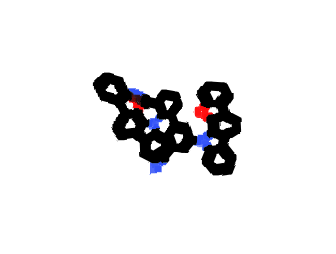 N#Cc1cc(-c2cccc(C#N)c2-n2c3ccccc3c3ccc4c5ccccc5oc4c32)cc(-n2c3ccccc3c3ccc4c5ccccc5oc4c32)c1